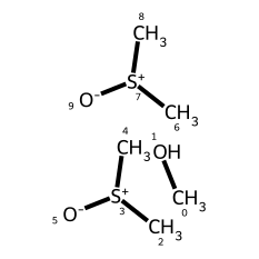 CO.C[S+](C)[O-].C[S+](C)[O-]